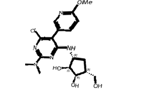 COc1ccc(-c2c(Cl)nc(N(C)C)nc2N[C@@H]2C[C@H](CO)[C@@H](O)[C@H]2O)cn1